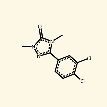 Cn1nc(-c2ccc(Cl)c(Cl)c2)n(C)c1=O